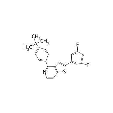 CC(C)(C)c1ccc(-c2nccc3sc(-c4cc(F)cc(F)c4)cc23)cc1